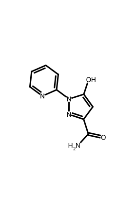 NC(=O)c1cc(O)n(-c2ccccn2)n1